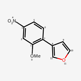 COc1cc([N+](=O)[O-])ccc1-c1ccoc1